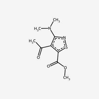 COC(=O)c1snc(N(C)C)c1C(C)=O